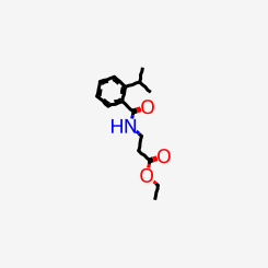 CCOC(=O)CCNC(=O)c1ccccc1C(C)C